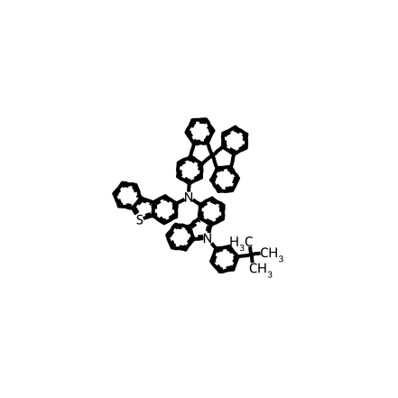 CC(C)(C)c1cccc(-n2c3ccccc3c3c(N(c4ccc5c(c4)C4(c6ccccc6-c6ccccc64)c4ccccc4-5)c4ccc5sc6ccccc6c5c4)cccc32)c1